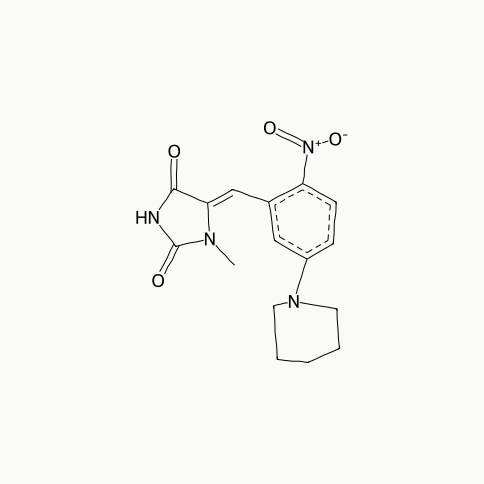 CN1C(=O)NC(=O)C1=Cc1cc(N2CCCCC2)ccc1[N+](=O)[O-]